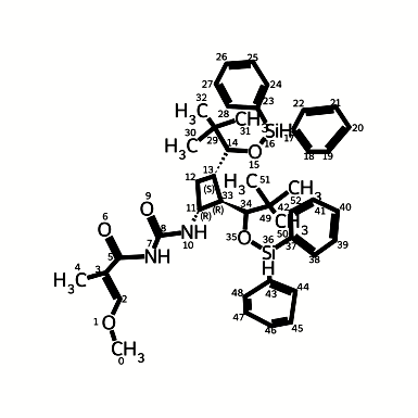 COC=C(C)C(=O)NC(=O)N[C@@H]1C[C@H](C(O[SiH](c2ccccc2)c2ccccc2)C(C)(C)C)[C@H]1C(O[SiH](c1ccccc1)c1ccccc1)C(C)(C)C